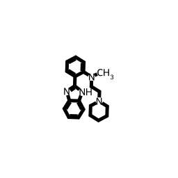 CN(CCN1CCCCC1)c1ccccc1-c1nc2ccccc2[nH]1